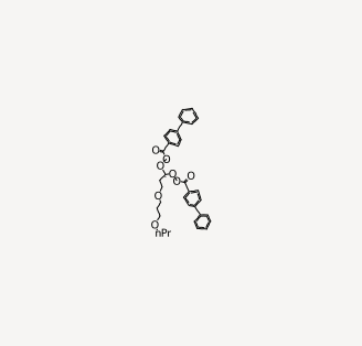 [CH2]CCOCCCOCC[C](OOC(=O)c1ccc(-c2ccccc2)cc1)OOC(=O)c1ccc(-c2ccccc2)cc1